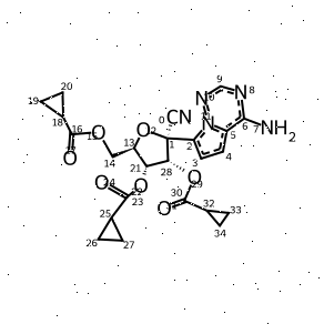 N#C[C@@]1(c2ccc3c(N)ncnn23)O[C@H](COC(=O)C2CC2)[C@@H](OC(=O)C2CC2)[C@H]1OC(=O)C1CC1